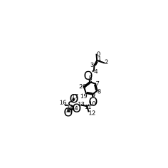 CC(C)=CCOc1ccc(OC(C)COS(C)(=O)=O)cc1